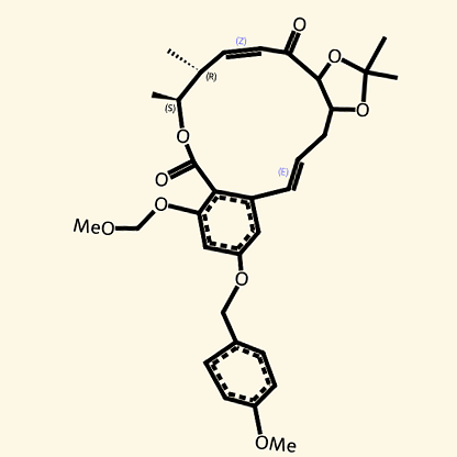 COCOc1cc(OCc2ccc(OC)cc2)cc2c1C(=O)O[C@@H](C)[C@H](C)/C=C\C(=O)C1OC(C)(C)OC1C/C=C/2